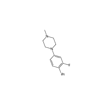 CC(C)c1ccc(N2CCN(C)CC2)cc1F